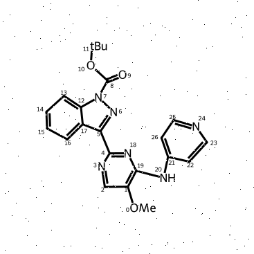 COc1cnc(-c2nn(C(=O)OC(C)(C)C)c3ccccc23)nc1Nc1ccncc1